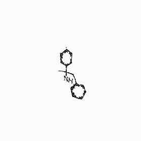 CC(N)(Cc1ccccc1)c1cc[c]cc1